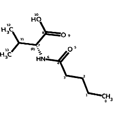 CCCCC(=O)N[C@@H](C(=O)O)C(C)C